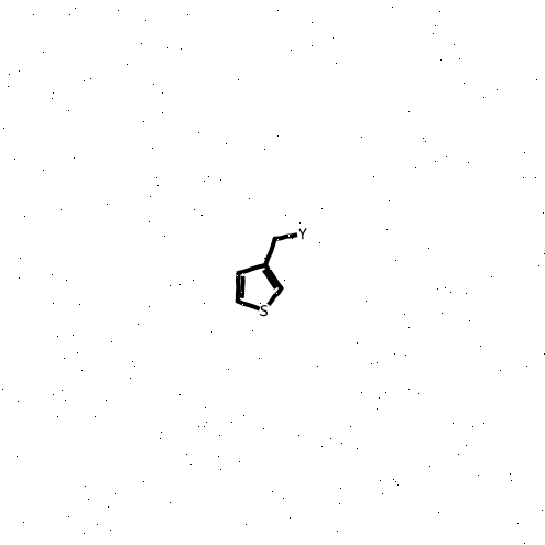 [Y][CH2]c1ccsc1